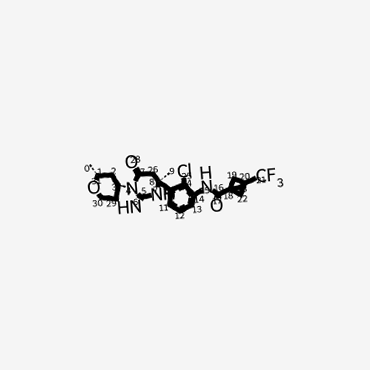 C[C@@H]1C[C@H](N2C(=N)N[C@](C)(c3cccc(NC(=O)C45CC(C(F)(F)F)(C4)C5)c3Cl)CC2=O)CCO1